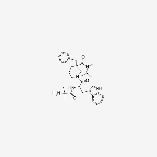 CN(C)N(C)C(=O)C1(Cc2ccccc2)CCCN(C(=O)C(Cc2c[nH]c3ccccc23)NC(=O)C(C)(C)N)C1